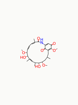 COC1=C2CC(C)CC(OC)C(O)C(C)/C=C(/C)C(O)C(OC)/C=C\C=C(\C)C(=O)NC(=CC1=O)C2=O